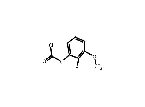 O=C(Cl)Oc1cccc(OC(F)(F)F)c1F